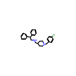 Clc1ccc(CN2CCC(CNCC(c3ccccc3)c3ccccc3)CC2)cc1